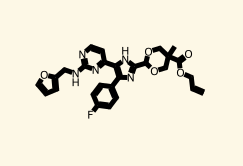 C=CCOC(=O)C1(C)COC(c2nc(-c3ccc(F)cc3)c(-c3ccnc(NCc4ccco4)n3)[nH]2)OC1